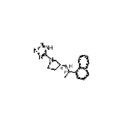 C[C@@H](N[C@H]1CCN(c2nnn[nH]2)C1)c1cccc2ccccc12